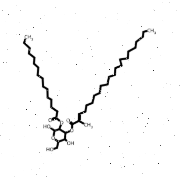 CCCCCCCCCCCCCCCCCCC/C=C(\C)C(=O)OC1C(O)C(CO)OC(O)C1OC(=O)CCCCCCCCCCCCCCC